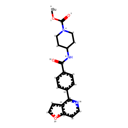 CC(C)(C)OC(=O)N1CCC(NC(=O)c2ccc(-c3nccc4occc34)cc2)CC1